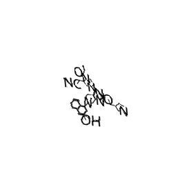 C=CC(=O)N1CCN(c2nc(OCC3CCN(C)C3)nc3c2CCN(c2cc(O)cc4ccccc24)C3)CC1CC#N